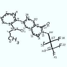 CC[S+]([O-])c1cccnc1-c1cc2ccn(CC(F)(F)C(F)(F)F)c(=O)c2cn1